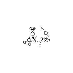 N#Cc1ccc(Cc2ncc(CC(=O)NCCN(Cc3cccc(Cl)c3Cl)C(=S)Nc3ccc([N+](=O)[O-])cc3)[nH]2)cc1